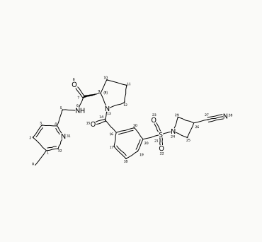 Cc1ccc(CNC(=O)[C@H]2CCCN2C(=O)c2cccc(S(=O)(=O)N3CC(C#N)C3)c2)nc1